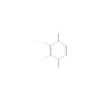 COc1c(C(=O)O)ccc([N+](=O)[O-])c1O